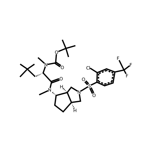 CN(C(=O)OC(C)(C)C)[C@@H](CC(C)(C)C)C(=O)N(C)[C@H]1CC[C@@H]2CN(S(=O)(=O)c3ccc(C(F)(F)F)cc3Cl)C[C@@H]21